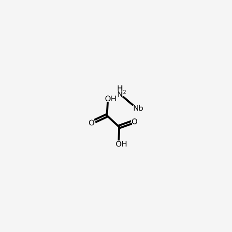 O=C(O)C(=O)O.[NH2][Nb]